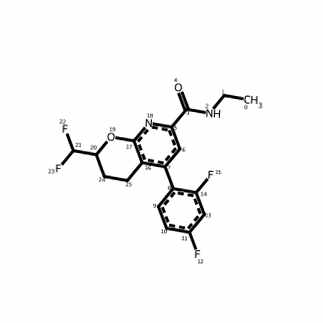 CCNC(=O)c1cc(-c2ccc(F)cc2F)c2c(n1)OC(C(F)F)CC2